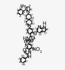 CC(C)c1ccccc1C1CCCN1C1CCC2(CC1)CCN(c1ccc(C(=O)NS(=O)(=O)c3cc([N+](=O)[O-])c4c(n3)OCC(Cc3ccccc3)N4)c(Oc3cnc4[nH]ccc4c3)c1)CC2